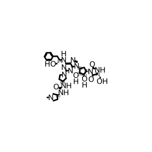 CN1CC[C@@H](NC(=O)N[C@@H]2CCN(c3nc(N[C@H](CO)Cc4ccccc4)c4ncn([C@@H]5C[C@H](N6C(=O)N[C@H](CO)C6=O)[C@@H](O)[C@H]5O)c4n3)C2)C1